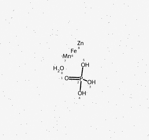 O.O=P(O)(O)O.[Fe].[Mn].[Zn]